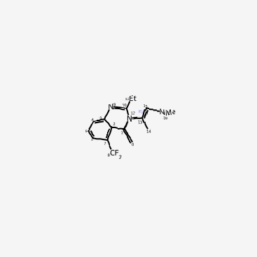 C=C1c2c(cccc2C(F)(F)F)N=C(CC)N1/C(C)=C/NC